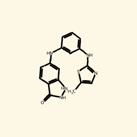 Cc1cnc(Nc2cccc(Nc3ccc4c(=O)[nH][nH]c4c3)c2)s1